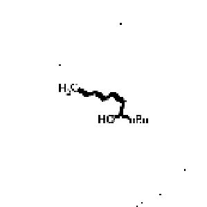 C=C/C=C/C=C\C(O)CCCC